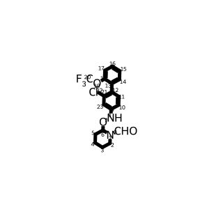 O=CN1CCCCC1ONc1ccc(-c2ccccc2OC(F)(F)F)c(Cl)c1